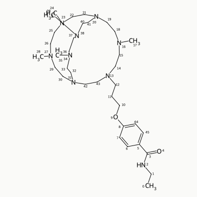 CCNC(=O)c1ccc(OCCCN2CCN(C)CCN3CCN(C)CCN(C)CCN(CCN(C)CCN(C)CC3)CC2)cc1